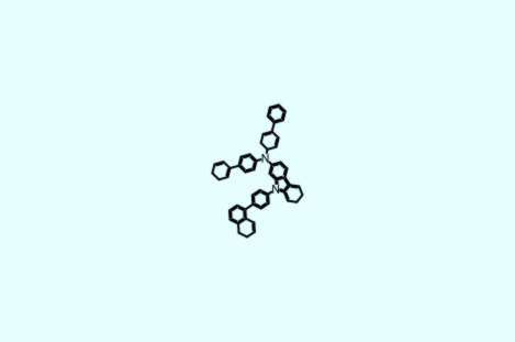 C1=CC(c2ccc(N(c3ccc4c5c(n(-c6ccc(-c7cccc8c7C=CCC8)cc6)c4c3)=CCCC=5)C3C=CC(c4ccccc4)=CC3)cc2)=CCC1